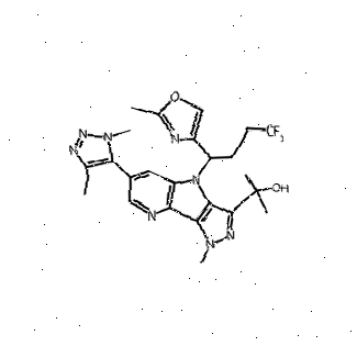 Cc1nc(C(CCC(F)(F)F)n2c3cc(-c4c(C)nnn4C)cnc3c3c2c(C(C)(C)O)nn3C)co1